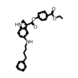 CCOC(=O)c1ccc(OC(=O)c2c[nH]c3ccc(NCCCCc4ccccc4)cc23)cc1